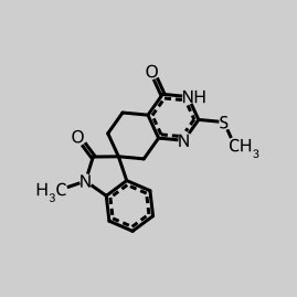 CSc1nc2c(c(=O)[nH]1)CCC1(C2)C(=O)N(C)c2ccccc21